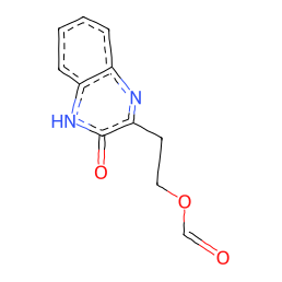 O=COCCc1nc2ccccc2[nH]c1=O